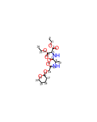 CCOC(=O)C(NC(=O)C(C)NC(=O)COC1CCCCO1)C(=O)OCC